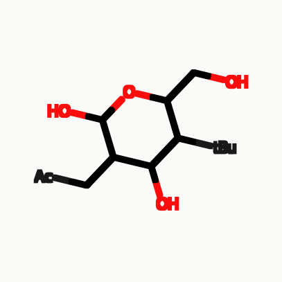 CC(=O)CC1C(O)OC(CO)C(C(C)(C)C)C1O